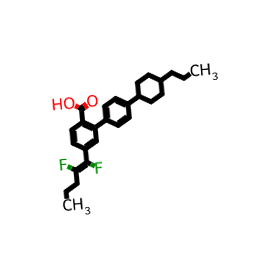 CCCC(F)=C(F)c1ccc(C(=O)O)c(-c2ccc(C3CCC(CCC)CC3)cc2)c1